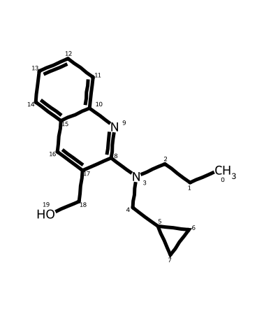 CCCN(CC1CC1)c1nc2ccccc2cc1CO